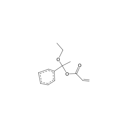 C=CC(=O)OC(C)(OCC)c1ccccc1